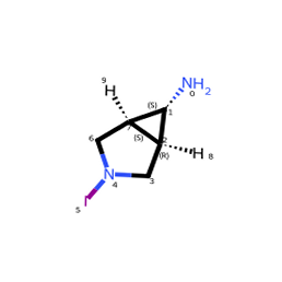 N[C@@H]1[C@H]2CN(I)C[C@@H]12